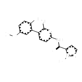 CCOc1ccc(Cl)c(-c2ccc(NC(=O)c3ccnn3C)nc2N)c1